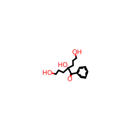 O=C(c1ccccc1)C(O)(CCCO)CCCO